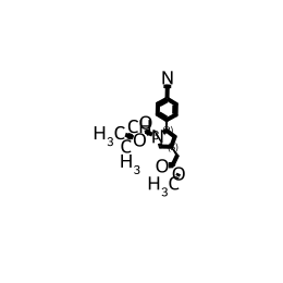 COC(=O)C[C@@H]1C[C@H](c2ccc(C#N)cc2)N(C(=O)OC(C)(C)C)C1